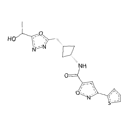 CC(O)c1nnc(C[C@H]2C[C@@H](NC(=O)c3cc(-c4cccs4)no3)C2)o1